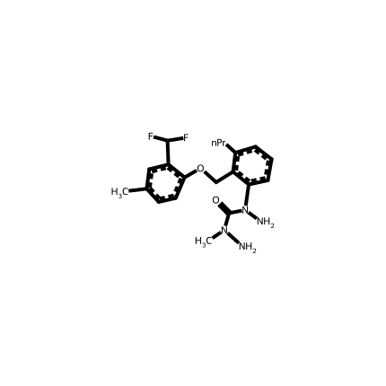 CCCc1cccc(N(N)C(=O)N(C)N)c1COc1ccc(C)cc1C(F)F